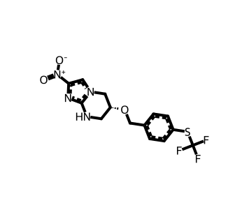 O=[N+]([O-])c1cn2c(n1)NC[C@@H](OCc1ccc(SC(F)(F)F)cc1)C2